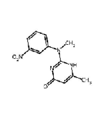 Cc1cc(=O)nc(N(C)c2cccc([N+](=O)[O-])c2)[nH]1